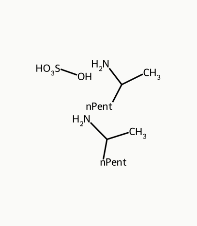 CCCCCC(C)N.CCCCCC(C)N.O=S(=O)(O)O